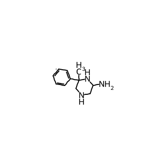 CC1(c2c[c]ccc2)CNCC(N)N1